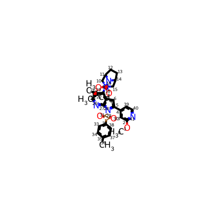 COc1cc(-c2cc3c(N4CC5CCC(C4)N5C(=O)OC(C)(C)C)ccnc3n2S(=O)(=O)c2ccc(C)cc2)ccn1